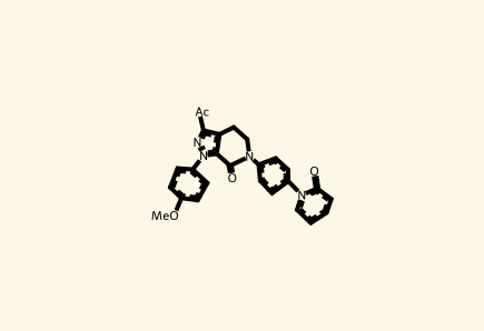 COc1ccc(-n2nc(C(C)=O)c3c2C(=O)N(c2ccc(-n4ccccc4=O)cc2)CC3)cc1